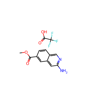 COC(=O)c1ccc2cnc(N)cc2c1.O=C(O)C(F)(F)F